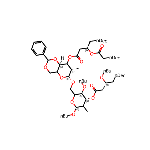 CCCCCCCCCCCC(=O)O[C@H](CCCCCCCCCCC)CC(=O)OC1[C@@H]2OC(c3ccccc3)OCC2O[C@@H](OCC2O[C@H](OCCCC)C(C)[C@@H](OC(=O)C[C@@H](CCCCCCCCCCC)OCCCC)[C@@H]2OCCCC)[C@H]1C